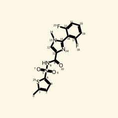 Cc1ccc(S(=O)(=O)NC(=O)c2cn(C)c(-c3c(F)cccc3F)n2)s1